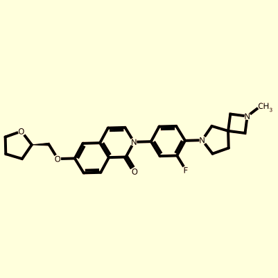 CN1CC2(CCN(c3ccc(-n4ccc5cc(OC[C@H]6CCCO6)ccc5c4=O)cc3F)C2)C1